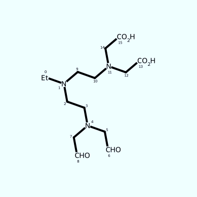 CCN(CCN(CC=O)CC=O)CCN(CC(=O)O)CC(=O)O